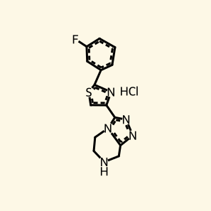 Cl.Fc1cccc(-c2nc(-c3nnc4n3CCNC4)cs2)c1